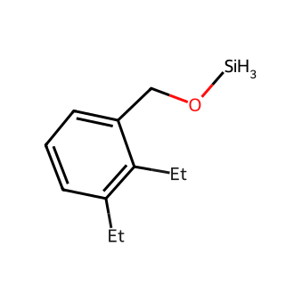 CCc1cccc(CO[SiH3])c1CC